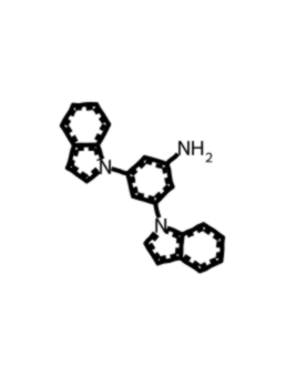 Nc1cc(-n2ccc3ccccc32)cc(-n2ccc3ccccc32)c1